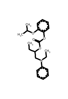 CCC(CN(CC)c1ccccc1)OC(=O)Oc1ccccc1OC(C)C